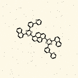 c1ccc(-c2cccc(-c3nc(-c4cccc5ccccc45)nc(-c4ccc5ccc6c(-c7nc(-c8cccc(-c9ccccn9)c8)nc(-c8cccc9ccccc89)n7)ccc7ccc4c5c76)n3)c2)nc1